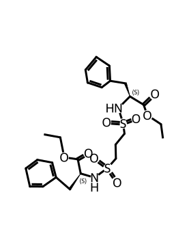 CCOC(=O)[C@H](Cc1ccccc1)NS(=O)(=O)CCCS(=O)(=O)N[C@@H](Cc1ccccc1)C(=O)OCC